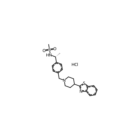 C[C@@H](NS(C)(=O)=O)c1ccc(CN2CCC(c3nc4ccccc4s3)CC2)cc1.Cl